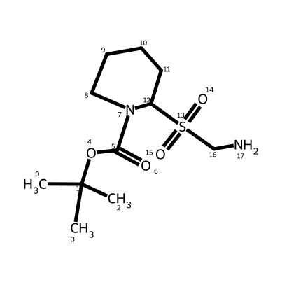 CC(C)(C)OC(=O)N1CCCCC1S(=O)(=O)CN